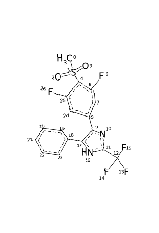 CS(=O)(=O)c1c(F)cc(-c2nc(C(F)(F)F)[nH]c2-c2ccccc2)cc1F